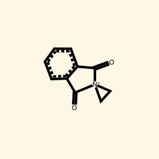 O=C1c2ccccc2C(=O)[N+]12CC2